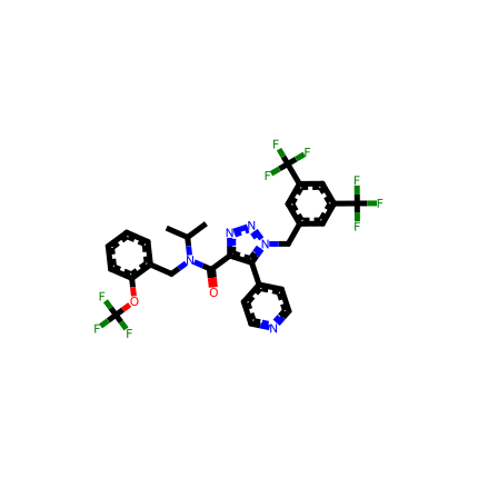 CC(C)N(Cc1ccccc1OC(F)(F)F)C(=O)c1nnn(Cc2cc(C(F)(F)F)cc(C(F)(F)F)c2)c1-c1ccncc1